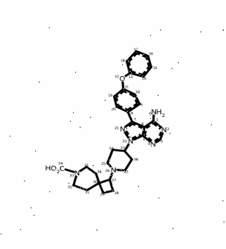 Nc1ncnc2c1c(-c1ccc(Oc3ccccc3)cc1)nn2C1CCN(C2CCC23CCN(C(=O)O)CC3)CC1